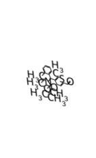 CCN(C(=O)OC(C)(C)C)C(C1=C(C)SC(C=O)=CC1)c1ccccc1C